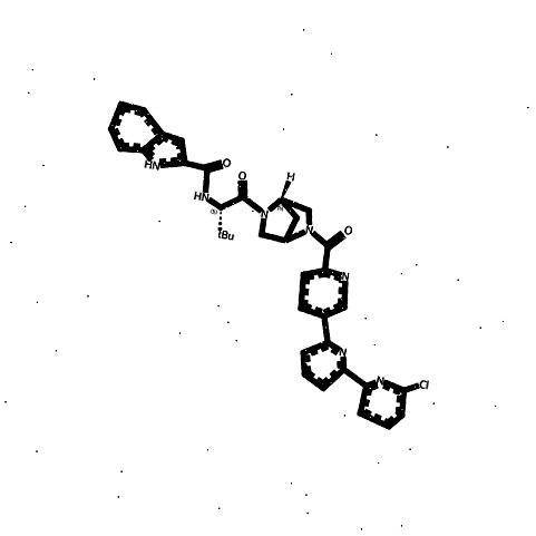 CC(C)(C)[C@H](NC(=O)c1cc2ccccc2[nH]1)C(=O)N1CC2C[C@H]1CN2C(=O)c1ccc(-c2cccc(-c3cccc(Cl)n3)n2)cn1